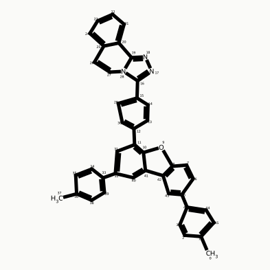 Cc1ccc(-c2ccc3oc4c(-c5ccc(-c6nnc7c8ccccc8ccn67)cc5)cc(-c5ccc(C)cc5)cc4c3c2)cc1